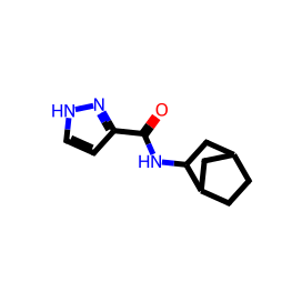 O=C(NC1CC2CCC1C2)c1cc[nH]n1